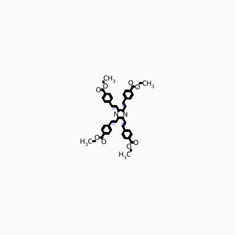 CCOC(=O)c1ccc(/C=C/c2nc(/C=C/c3ccc(C(=O)OCC)cc3)c(/C=C/c3ccc(C(=O)OCC)cc3)nc2/C=C/c2ccc(C(=O)OCC)cc2)cc1